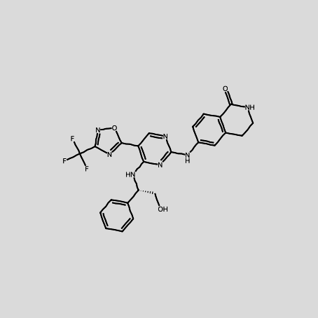 O=C1NCCc2cc(Nc3ncc(-c4nc(C(F)(F)F)no4)c(N[C@H](CO)c4ccccc4)n3)ccc21